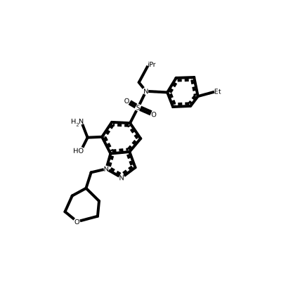 CCc1ccc(N(CC(C)C)S(=O)(=O)c2cc(C(N)O)c3c(cnn3CC3CCOCC3)c2)cc1